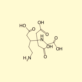 NCCC(CC(=O)O)C(CC(=O)O)(CC(=O)O)NCC(=O)O